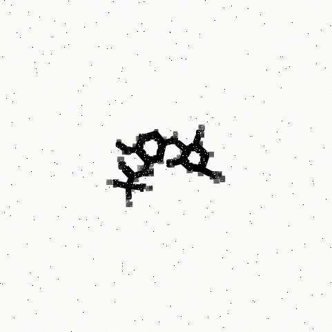 COc1ncc(Oc2c(Cl)cc(N)cc2Cl)cc1NC(=O)C(F)(F)F